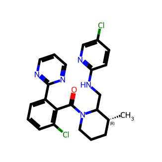 C[C@@H]1CCCN(C(=O)c2c(Cl)cccc2-c2ncccn2)C1CNc1ccc(Cl)cn1